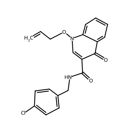 C=CCOn1cc(C(=O)NCc2ccc(Cl)cc2)c(=O)c2ccccc21